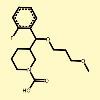 COCCCOC(c1ccccc1F)C1CCCN(C(=O)O)C1